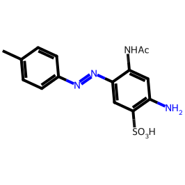 CC(=O)Nc1cc(N)c(S(=O)(=O)O)cc1N=Nc1ccc(C)cc1